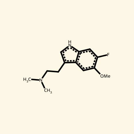 COc1cc2c(CCN(C)C)c[nH]c2cc1F